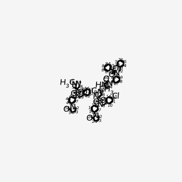 Cc1nc(S(=O)(=O)N(Cc2ccc(Cl)cc2)c2cccc(N3CCCC3=O)c2)cn1C.Cn1cc(S(=O)(=O)N(Cc2ccccc2)c2cccc(N3CCCC3=O)c2)cn1.O=C1NCCN1c1cccc(N(Cc2ccccc2)S(=O)(=O)c2ccccc2)c1